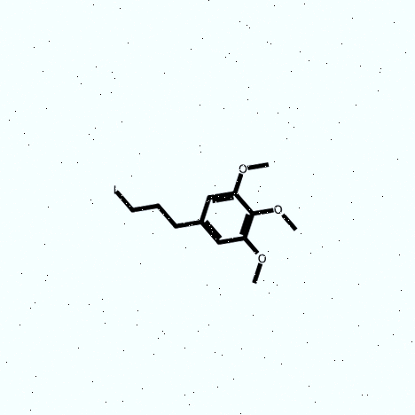 COc1cc(CCCI)cc(OC)c1OC